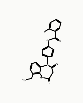 CCc1cccc2c1NC(=O)CC(=O)N2c1ccc(NC(=O)c2ccccc2I)cc1